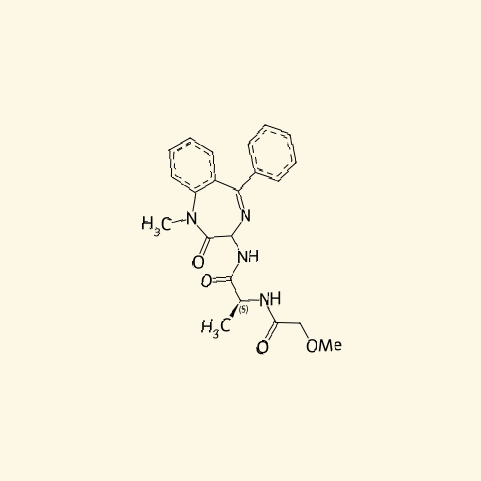 COCC(=O)N[C@@H](C)C(=O)NC1N=C(c2ccccc2)c2ccccc2N(C)C1=O